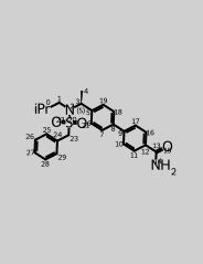 CC(C)CN([C@@H](C)c1ccc(-c2ccc(C(N)=O)cc2)cc1)S(=O)(=O)Cc1ccccc1